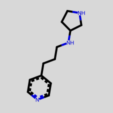 c1cc(CCCNC2CCNC2)ccn1